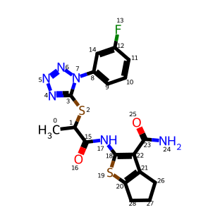 CC(Sc1nnnn1-c1cccc(F)c1)C(=O)Nc1sc2c(c1C(N)=O)CCC2